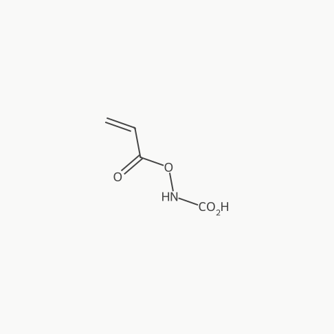 C=CC(=O)ONC(=O)O